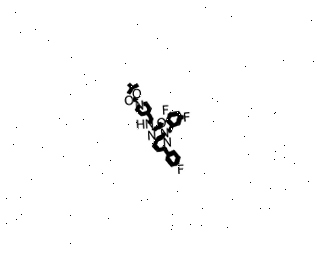 CC(C)(C)OC(=O)N1CCC(CNc2nc3ccc(-c4ccc(F)cc4)nc3n(Cc3cc(F)cc(F)c3)c2=O)CC1